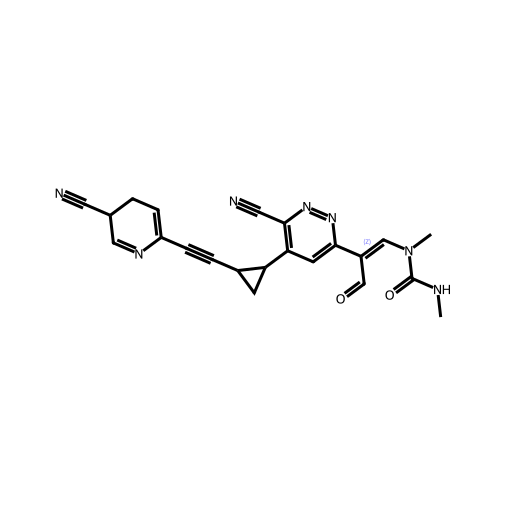 CNC(=O)N(C)/C=C(\C=O)c1cc(C2CC2C#CC2=CCC(C#N)C=N2)c(C#N)nn1